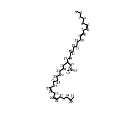 CCCCC/C=C\CC=CCCCCCCCCC(CCCCCCCC/C=C\C/C=C\CCCCC)CN(C)C